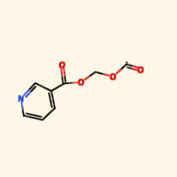 O=[C]OCOC(=O)c1cccnc1